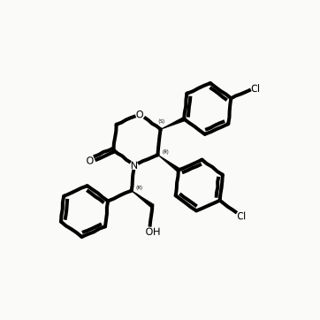 O=C1CO[C@@H](c2ccc(Cl)cc2)[C@@H](c2ccc(Cl)cc2)N1[C@@H](CO)c1ccccc1